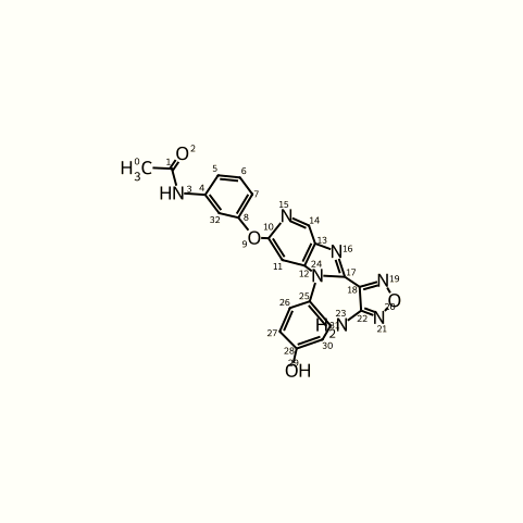 CC(=O)Nc1cccc(Oc2cc3c(cn2)nc(-c2nonc2N)n3-c2ccc(O)cc2)c1